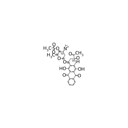 CC(=O)[C@]1(O)Cc2c(O)c3c(c(O)c2[C@@H](O[C@H]2C[C@H](N4CC4)[C@H](OS(C)(=O)=O)[C@H](C)O2)C1)C(=O)c1ccccc1C3=O